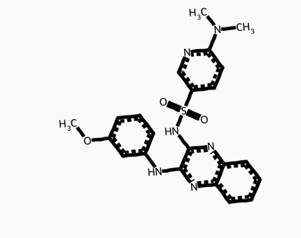 COc1cccc(Nc2nc3ccccc3nc2NS(=O)(=O)c2ccc(N(C)C)nc2)c1